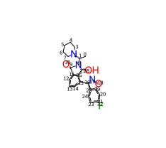 CC(N1CCCCC1)N1C(=O)c2cccc(-c3noc4cc(F)ccc34)c2C1O